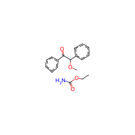 CCOC(N)=O.COC(C(=O)c1ccccc1)c1ccccc1